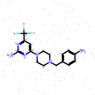 Nc1ccc(CN2CCN(c3cc(C(F)(F)F)nc(N)n3)CC2)cc1